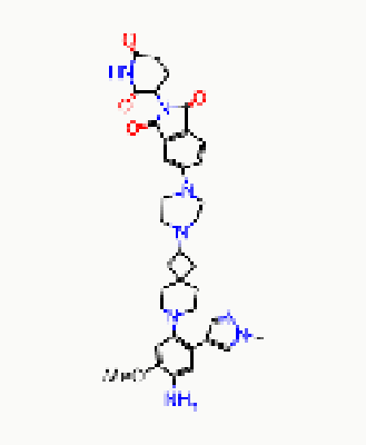 COc1cc(N2CCC3(CC2)CC(N2CCN(c4ccc5c(c4)C(=O)N(C4CCC(=O)NC4=O)C5=O)CC2)C3)c(-c2cnn(C)c2)cc1N